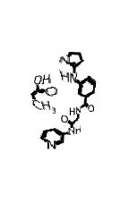 CCC(=O)O.O=C(CNC(=O)c1cccc(NC2=NCCC2)c1)Nc1cccnc1